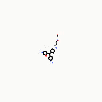 CCN(CCCC(=O)NCCO)c1cc(OC)c(-c2c3ccc(=[N+](C)C)cc-3oc3cc(N(C)C)ccc23)cc1OC